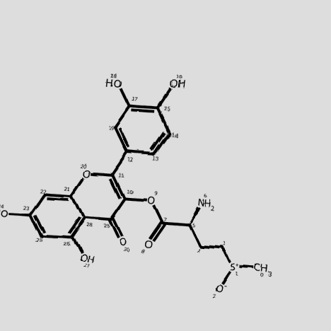 C[S+]([O-])CC[C@H](N)C(=O)Oc1c(-c2ccc(O)c(O)c2)oc2cc(O)cc(O)c2c1=O